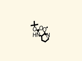 COC1=NCCCC1NC(=O)OC(C)(C)C